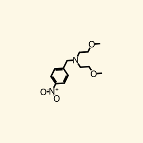 COCCN(CCOC)Cc1ccc([N+](=O)[O-])cc1